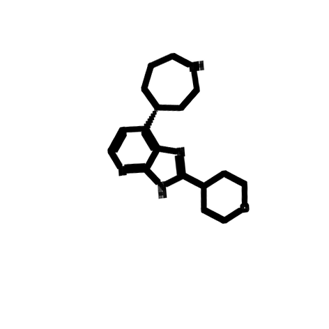 c1cc([C@@H]2CCCNCC2)c2nc(C3CCOCC3)[nH]c2n1